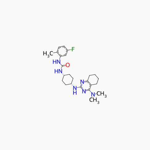 Cc1ccc(F)cc1NC(=O)N[C@H]1CC[C@@H](Nc2nc3c(c(N(C)C)n2)CCCC3)CC1